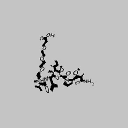 CC[C@H](C)[C@@H]([C@@H](CC(=O)N1CCC[C@H]1[C@H](OC)[C@@H](C)C(N)=O)OC)N(C)C(=O)[C@@H](NC(=O)[C@H](C(C)C)N(C)CCOCCOCCOCCC(=O)O)C(C)C